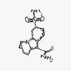 NC(=O)c1c2ccc(S(N)(=O)=O)cc2n2ccccc12